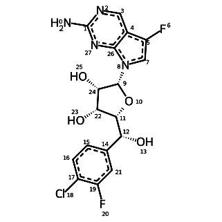 Nc1ncc2c(F)cn([C@@H]3O[C@H]([C@H](O)c4ccc(Cl)c(F)c4)[C@H](O)[C@@H]3O)c2n1